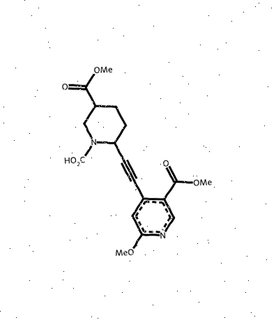 COC(=O)c1cnc(OC)cc1C#CC1CCC(C(=O)OC)CN1C(=O)O